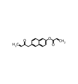 C=CC(=O)Cc1ccc2cc(OC(=O)C=C)ccc2c1